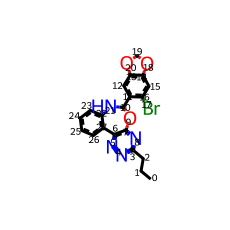 CCCc1nnc2c(n1)OC(c1cc3c(cc1Br)OCO3)Nc1ccccc1-2